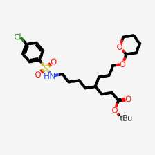 CC(C)(C)OC(=O)CCC(CCCCNS(=O)(=O)c1ccc(Cl)cc1)CCCOC1CCCCO1